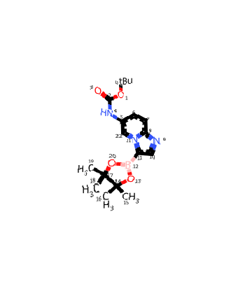 CC(C)(C)OC(=O)Nc1ccc2ncc(B3OC(C)(C)C(C)(C)O3)n2c1